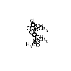 CC(C)N=C(c1ccc(Cl)cc1Cl)N1CCCc2cc(C3=NN(C)C(=O)SC3(C)C)ccc21